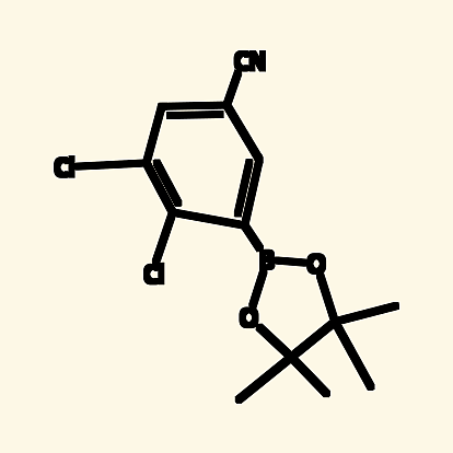 CC1(C)OB(c2cc(C#N)cc(Cl)c2Cl)OC1(C)C